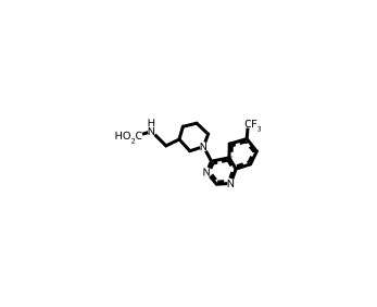 O=C(O)NCC1CCCN(c2ncnc3ccc(C(F)(F)F)cc23)C1